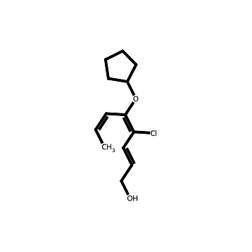 C\C=C/C(OC1CCCC1)=C(Cl)\C=C\CO